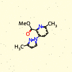 COC(=O)c1nc(C)ccc1-n1ccc(C)n1